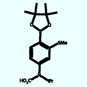 CSc1cc(N(C(=O)O)C(C)C)ccc1B1OC(C)(C)C(C)(C)O1